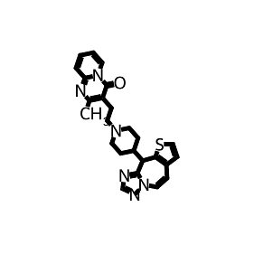 Cc1nc2ccccn2c(=O)c1CCN1CCC(C2c3sccc3C=Cn3ncnc32)CC1